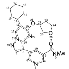 CNC(=O)c1cncc(-c2cnn3cc(C4CCCCC4)c(OC4CCOC4)nc23)c1